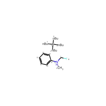 CCCC[B-](CCCC)(CCCC)CCCC.C[NH+](CF)c1ccccc1